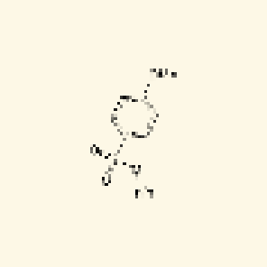 CCCOS(=O)(=O)c1ccc(OC)cc1